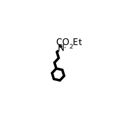 CCOC(=O)[N]CCCC1CCCCC1